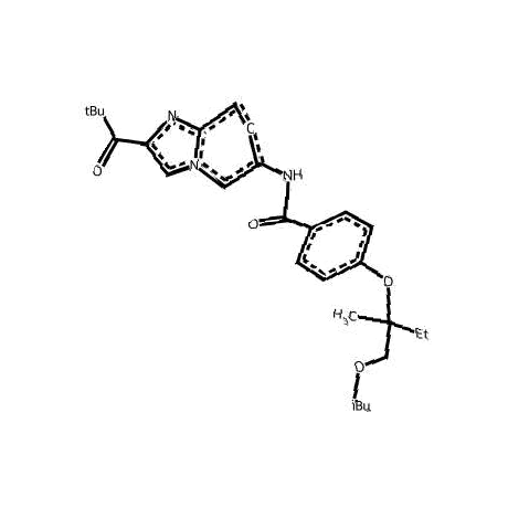 CCC(C)OCC(C)(CC)Oc1ccc(C(=O)Nc2ccc3nc(C(=O)C(C)(C)C)cn3c2)cc1